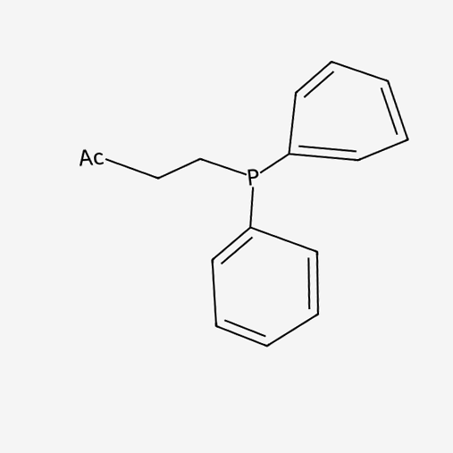 CC(=O)CCP(c1ccccc1)c1ccccc1